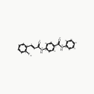 O=C(C=Cc1ccccc1F)Nc1ccc(C(=O)Nc2ccccc2)cc1